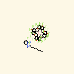 CCCCCCCCC[NH+](C)c1cccc(F)c1F.Fc1cc2c(c(F)c1F)-c1c(F)c(F)c(F)c(F)c1C2[B-](C1c2cc(F)c(F)c(F)c2-c2c(F)c(F)c(F)c(F)c21)(C1c2cc(F)c(F)c(F)c2-c2c(F)c(F)c(F)c(F)c21)C1c2cc(F)c(F)c(F)c2-c2c(F)c(F)c(F)c(F)c21